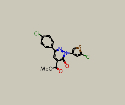 COC(=O)c1cc(-c2ccc(Cl)cc2)nn(-c2csc(Cl)c2)c1=O